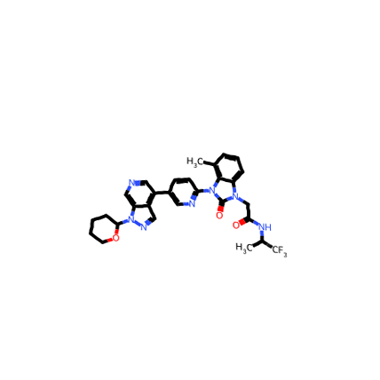 Cc1cccc2c1n(-c1ccc(-c3cncc4c3cnn4C3CCCCO3)cn1)c(=O)n2CC(=O)NC(C)C(F)(F)F